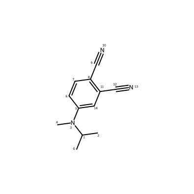 CC(C)N(C)c1ccc(C#N)c(C#N)c1